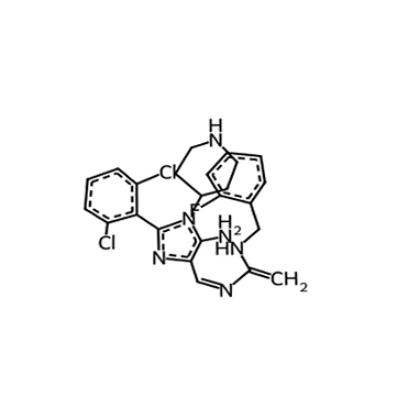 C=C(/N=C\c1nc(-c2c(Cl)cccc2Cl)n(C2CCNCC2)c1N)NCc1ccccc1F